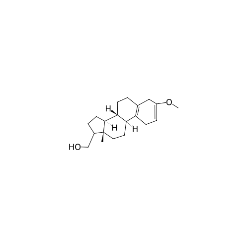 COC1=CCC2=C(CC[C@@H]3[C@@H]2CC[C@]2(C)C(CO)CC[C@@H]32)C1